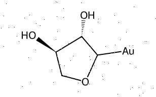 O[C@@H]1CO[CH]([Au])[C@H]1O